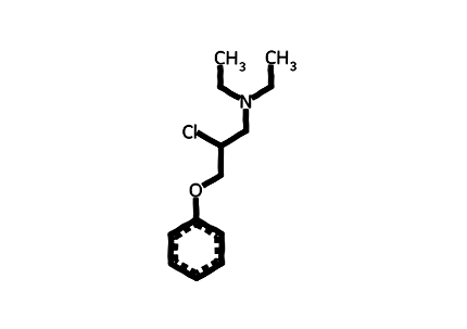 CCN(CC)CC(Cl)COc1ccccc1